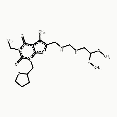 CCn1c(=O)c2c(C)c(CNCNCC(OC)OC)sc2n(CC2CCCO2)c1=O